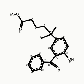 COC(=O)CCCC(C)(C)c1ccc(O)c(C(=O)c2ccccc2)c1